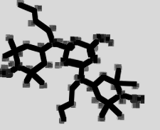 CCCCN(c1nc(N)nc(N(CCCC)C2CC(C)(C)N(O)C(C)(C)C2)n1)C1CC(C)(C)N(O)C(C)(C)C1